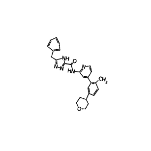 Cc1ccc(C2CCOCC2)cc1-c1ccnc(NC(=O)c2nnc(Cc3ccccc3)[nH]2)c1